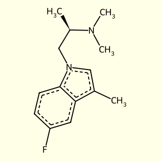 Cc1cn(C[C@@H](C)N(C)C)c2ccc(F)cc12